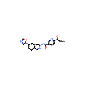 CNC(=O)c1ccc(C(=O)Nc2cc3cc(-c4cnco4)ccc3cn2)cn1